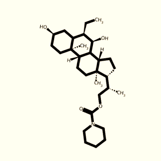 CC[C@@H]1C2C[C@H](O)CC[C@]2(C)[C@H]2CC[C@]3(C)[C@@H]([C@H](C)COC(=O)N4CCCCC4)CC[C@H]3C2[C@@H]1O